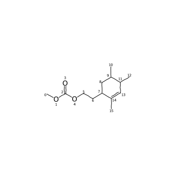 COC(=O)OCCC1CC(C)C(C)C=C1C